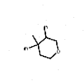 CC(C)C1COCCC1(C)C(C)C